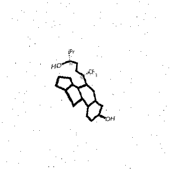 CC(C)[C@@H](O)CC[C@@H](C1CC2CC(O)CCC2C2CCC3CCCC3C21)C(F)(F)F